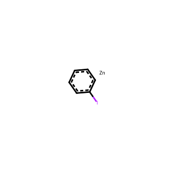 Ic1ccccc1.[Zn]